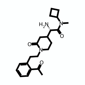 CC(=O)c1ccccc1CCN1CCC([C@H](N)C(=O)N(C)C2CCC2)CC1=O